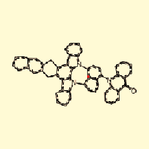 O=c1c2ccccc2n(-c2ccc(-n3c4ccccc4c4c5c(c6c7ccccc7n(-c7ccccc7)c6c43)Cc3cc4ccccc4cc3C5)cc2)c2ccccc12